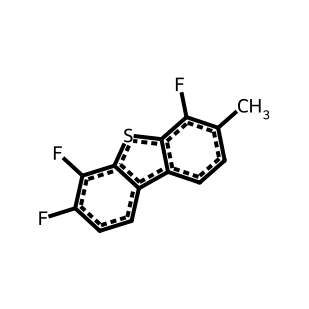 Cc1ccc2c(sc3c(F)c(F)ccc32)c1F